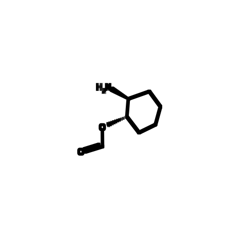 N[C@H]1CCCC[C@@H]1OC=O